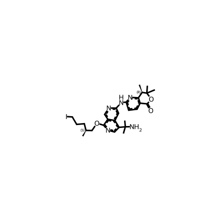 C[C@@H](CCCI)COc1ncc(C(C)(C)N)c2cc(Nc3ccc4c(n3)[C@@H](C)C(C)(C)OC4=O)ncc12